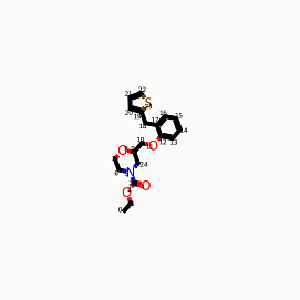 CCOC(=O)N1CCOC(COc2ccccc2Cc2cccs2)C1